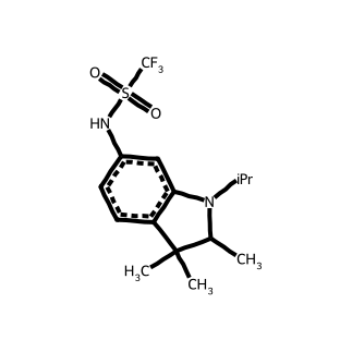 CC(C)N1c2cc(NS(=O)(=O)C(F)(F)F)ccc2C(C)(C)C1C